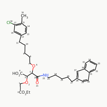 CCOC(=O)COC(C(=O)O)C(OCCCCCc1ccc(C)c(Cl)c1)C(=O)NCCCCCc1ccc2ccccc2c1